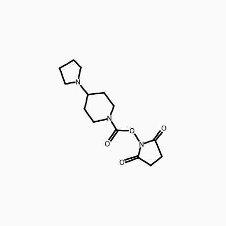 O=C(ON1C(=O)CCC1=O)N1CCC(N2CCCC2)CC1